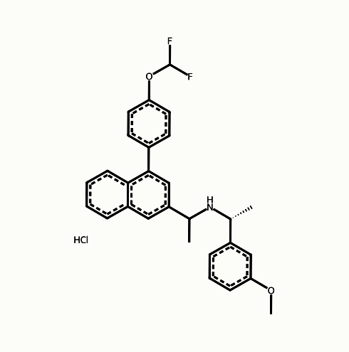 COc1cccc([C@@H](C)NC(C)c2cc(-c3ccc(OC(F)F)cc3)c3ccccc3c2)c1.Cl